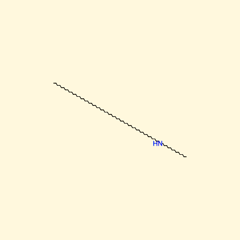 CCCCCCCCCCCCCCCCCCCCCCCCCCCCCCCCCCCCCCCCCCCCCCCCCCCCCCNCCCCCCCCCCCCC